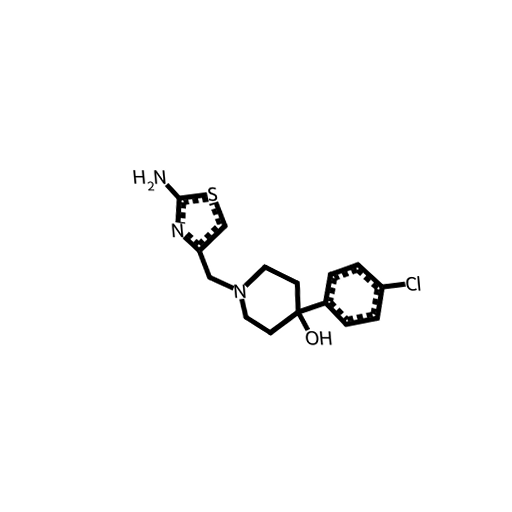 Nc1nc(CN2CCC(O)(c3ccc(Cl)cc3)CC2)cs1